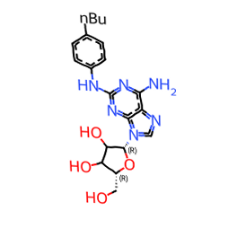 CCCCc1ccc(Nc2nc(N)c3ncn([C@@H]4O[C@H](CO)C(O)C4O)c3n2)cc1